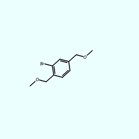 COCc1ccc(COC)c(Br)c1